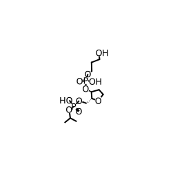 CC(C)OP(=O)(O)OC[C@H]1OCC[C@@H]1OP(=O)(O)OCCCO